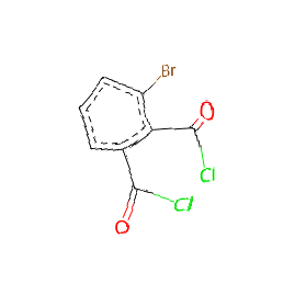 O=C(Cl)c1cccc(Br)c1C(=O)Cl